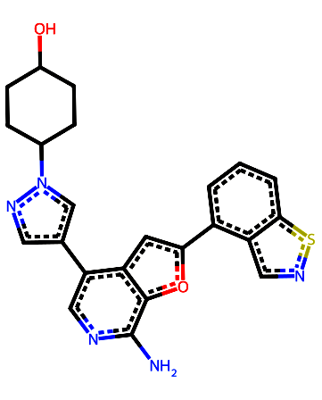 Nc1ncc(-c2cnn(C3CCC(O)CC3)c2)c2cc(-c3cccc4sncc34)oc12